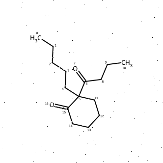 CCCCCC1(C(=O)CCC)CCCCC1=O